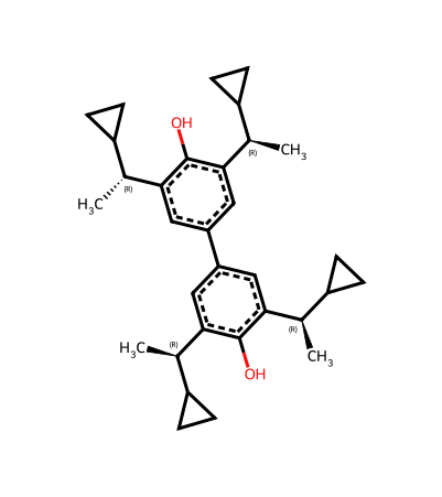 C[C@@H](c1cc(-c2cc([C@H](C)C3CC3)c(O)c([C@H](C)C3CC3)c2)cc([C@H](C)C2CC2)c1O)C1CC1